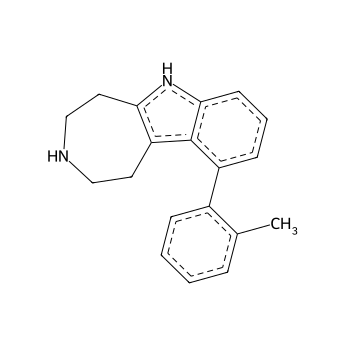 Cc1ccccc1-c1cccc2[nH]c3c(c12)CCNCC3